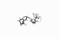 CC(C)(O)c1c(F)cccc1Oc1cnc2c(F)c(F)ccc2c1